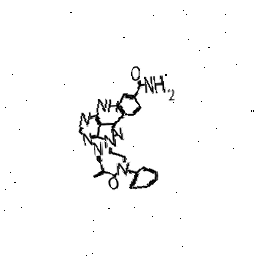 C=C(C#N)C(=O)N(CCn1nc(-c2ccc(C(N)=O)cc2)c2c(N)ncnc21)c1ccccc1